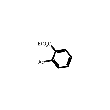 CCOC(=O)c1ccccc1C(C)=O